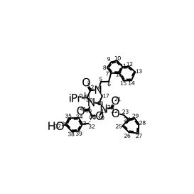 CC(C)[C@H]1C(=O)N(CCc2cccc3ccccc23)CC2N(C(=O)OCc3ccccc3)O[C@H](Cc3ccc(O)cc3)C(=O)N21